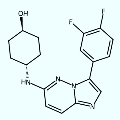 O[C@H]1CC[C@H](Nc2ccc3ncc(-c4ccc(F)c(F)c4)n3n2)CC1